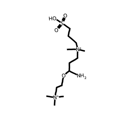 C[N+](C)(C)CCOC(N)CC[N+](C)(C)CCCS(=O)(=O)O